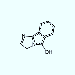 Oc1c2ccccc2c2n1CC=N2